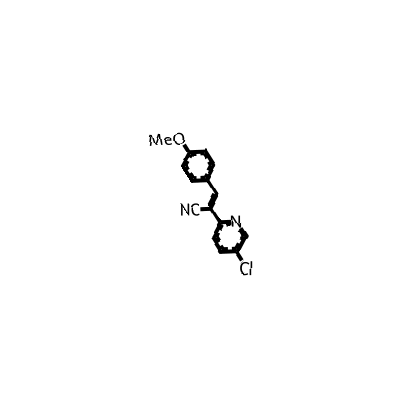 COc1ccc(/C=C(\C#N)c2ccc(Cl)cn2)cc1